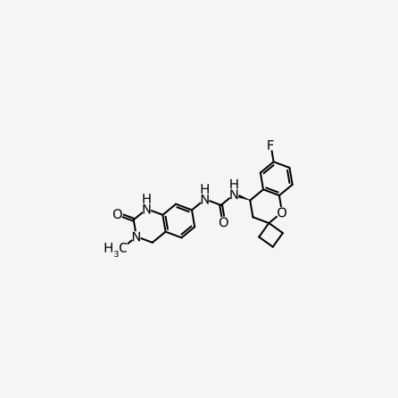 CN1Cc2ccc(NC(=O)N[C@@H]3CC4(CCC4)Oc4ccc(F)cc43)cc2NC1=O